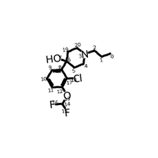 CCCN1CCC(O)(c2cccc(OC(F)F)c2Cl)CC1